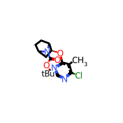 Cc1c(Cl)ncnc1O[C@H]1CC2CCC1N2C(=O)OC(C)(C)C